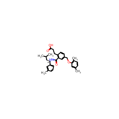 Cc1cccc([C@@H](CC(C)C)NC(=O)c2cc(COc3cc(C)ccc3C)ccc2CCC(=O)O)c1